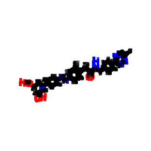 Cc1nnc(-c2ccc(CNC(=O)Cc3ccc(N=Nc4ccc(N(CCO)CCO)cc4)cc3)cc2)nn1